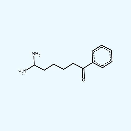 NC(N)CCCCC(=O)c1ccccc1